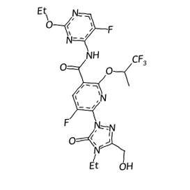 CCOc1ncc(F)c(NC(=O)c2cc(F)c(-n3nc(CO)n(CC)c3=O)nc2OC(C)C(F)(F)F)n1